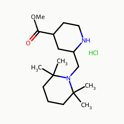 COC(=O)C1CCNC(CN2C(C)(C)CCCC2(C)C)C1.Cl